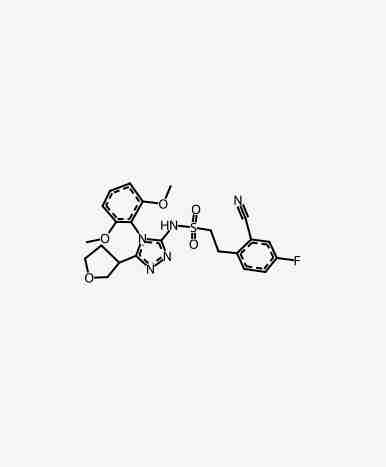 COc1cccc(OC)c1-n1c(NS(=O)(=O)CCc2ccc(F)cc2C#N)nnc1C1CCOC1